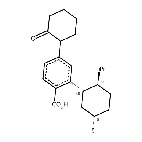 CC(C)[C@H]1CC[C@H](C)C[C@@H]1c1cc(C2CCCCC2=O)ccc1C(=O)O